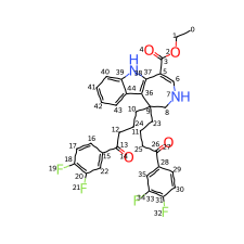 CCOC(=O)C1=CNCC(CCCC(=O)c2ccc(F)c(F)c2)(CCCC(=O)c2ccc(F)c(F)c2)c2c1[nH]c1ccccc21